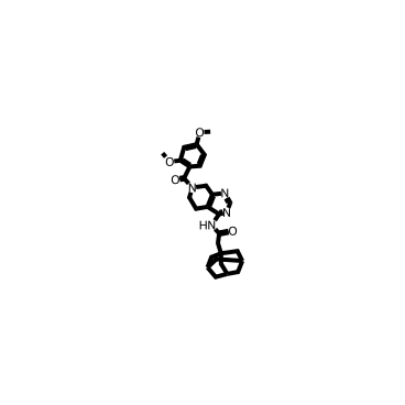 COc1ccc(C(=O)N2CCc3c(ncnc3NC(=O)CC34CC5CC(CC(C5)C3)C4)C2)c(OC)c1